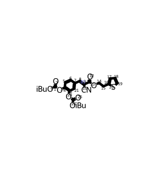 CC(C)COC(=O)Oc1ccc(/C=C(\C#N)C(=O)OCCc2cccs2)cc1OC(=O)OCC(C)C